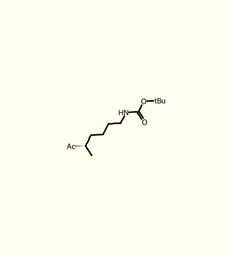 CC(=O)[C@@H](C)CCCCNC(=O)OC(C)(C)C